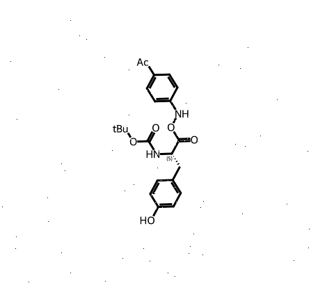 CC(=O)c1ccc(NOC(=O)[C@H](Cc2ccc(O)cc2)NC(=O)OC(C)(C)C)cc1